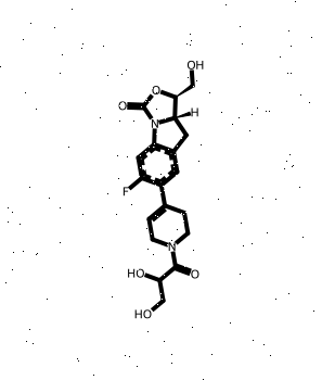 O=C(C(O)CO)N1CC=C(c2cc3c(cc2F)N2C(=O)O[C@@H](CO)[C@@H]2C3)CC1